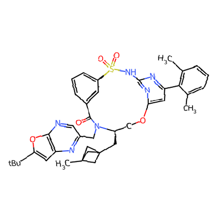 Cc1cccc(C)c1-c1cc2nc(n1)NS(=O)(=O)c1cccc(c1)C(=O)N(Cc1cnc3oc(C(C)(C)C)cc3n1)[C@H](CC13CC(C)(C1)C3)CO2